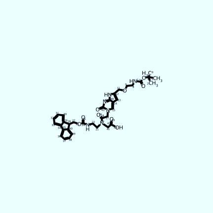 CC(C)(C)OC(=O)NCCOCc1cc2cn(CC(=O)N(CCNC(=O)OCC3c4ccccc4-c4ccccc43)CC(=O)O)c(=O)nc2[nH]1